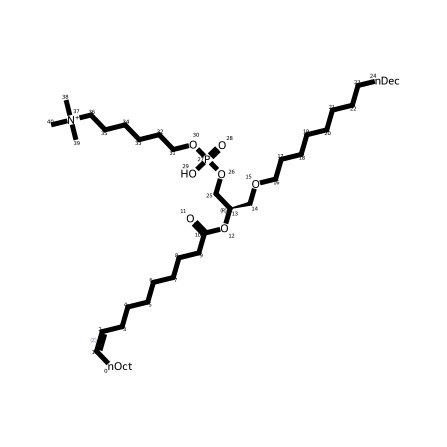 CCCCCCCC/C=C\CCCCCCCC(=O)O[C@H](COCCCCCCCCCCCCCCCCCC)COP(=O)(O)OCCCCCC[N+](C)(C)C